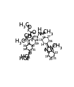 COCC(=O)O[C@]1(CCNC(C)[C@H]2CC[C@H](c3nc4ccccc4n3C)CC2)CCc2cc(F)ccc2[C@@H]1C(C)C.Cl.Cl